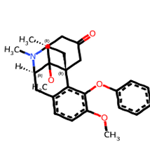 COc1ccc2c(c1Oc1ccccc1)[C@]13CCN(C)[C@H](C2)C1(OC)[C@H](C)CC(=O)C3